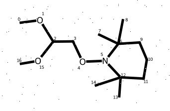 COC(CON1C(C)(C)CCCC1(C)C)OC